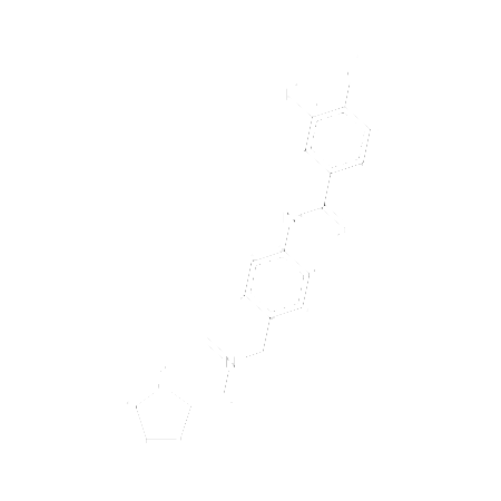 C=[N+](Cc1ccc(NC(=O)c2ccc(Cl)c(Cl)c2)cc1)C[C@@H]1CCCO1